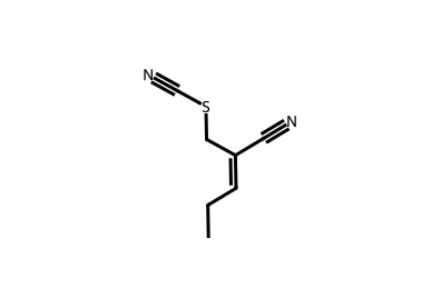 CCC=C(C#N)CSC#N